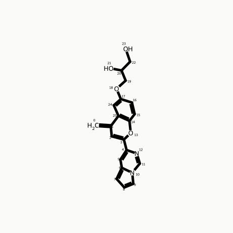 C=C1C=C(c2cc3cccn3cn2)Oc2ccc(OCC(O)CO)cc21